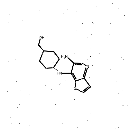 Nc1cnc2ccsc2c1N[C@H]1CC[C@H](CO)CC1